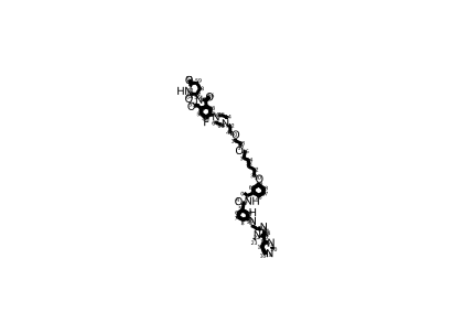 CC(NC(=O)c1cccc(NCc2nnc(-c3ccncn3)n2C)c1)c1cccc(OCCCCCCOCCOCCN2CCN(c3cc4c(cc3F)C(=O)N(C3CCC(=O)NC3=O)C4=O)CC2)c1